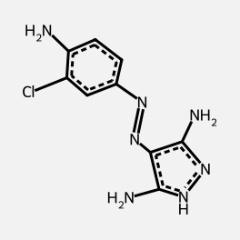 Nc1ccc(N=Nc2c(N)n[nH]c2N)cc1Cl